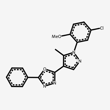 COc1ccc(Cl)cc1-n1ncc(-c2nnc(-c3ccccc3)o2)c1C